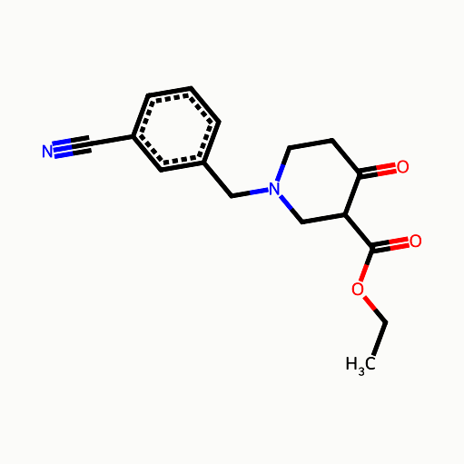 CCOC(=O)C1CN(Cc2cccc(C#N)c2)CCC1=O